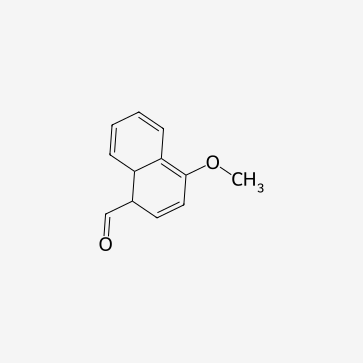 COC1=C2C=CC=CC2C(C=O)C=C1